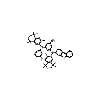 Cc1cc2c(cc1N(c1cccc(Cl)c1)c1cc(N(c3ccc4c(c3)oc3ccccc34)c3cc4c(cc3C)C(C)(C)CCC4(C)C)cc(C(C)(C)C)c1)C(C)(C)CCC2(C)C